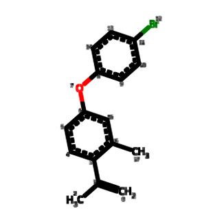 C=C(C)c1ccc(Oc2ccc(Br)cc2)cc1C